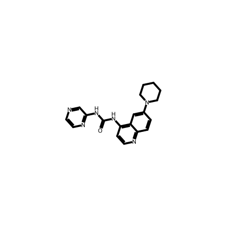 O=C(Nc1cnccn1)Nc1ccnc2ccc(N3CCCCC3)cc12